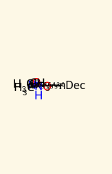 CCCCCCCCCCCCCCCCOCCCNC(=O)C[N+](C)(C)C